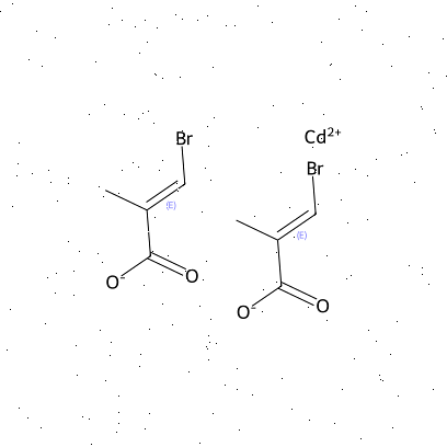 C/C(=C\Br)C(=O)[O-].C/C(=C\Br)C(=O)[O-].[Cd+2]